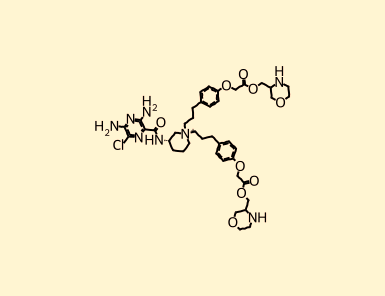 Nc1nc(N)c(C(=O)N[C@H]2CCC[N+](CCCc3ccc(OCC(=O)OCC4COCCN4)cc3)(CCCc3ccc(OCC(=O)OCC4COCCN4)cc3)C2)nc1Cl